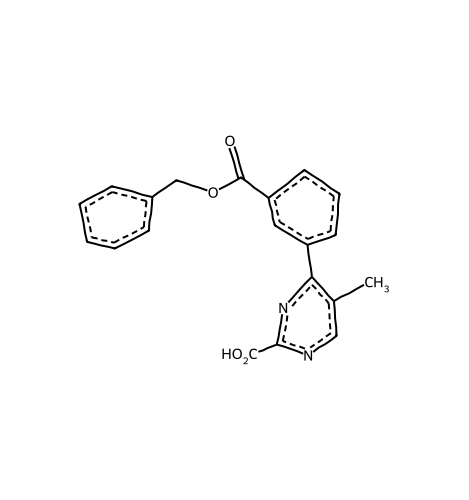 Cc1cnc(C(=O)O)nc1-c1cccc(C(=O)OCc2ccccc2)c1